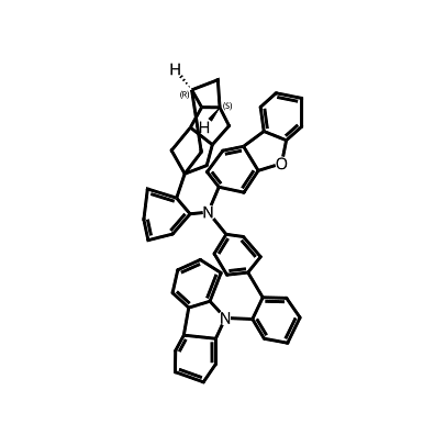 c1ccc(-n2c3ccccc3c3ccccc32)c(-c2ccc(N(c3ccc4c(c3)oc3ccccc34)c3ccccc3C34CC5C[C@H]6C[C@H](C3)C6C5C4)cc2)c1